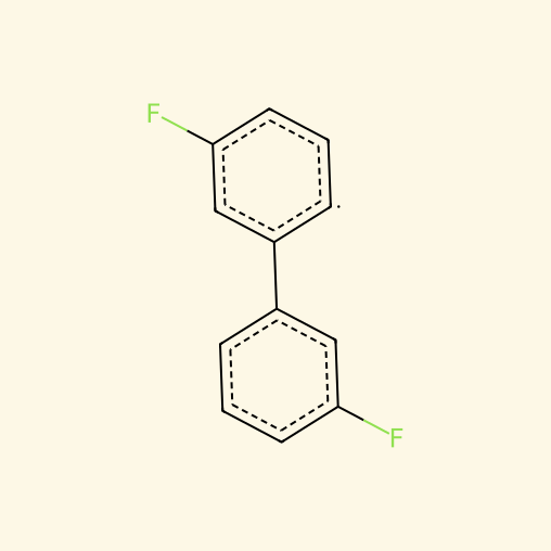 Fc1cc[c]c(-c2cccc(F)c2)c1